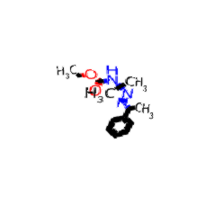 CCOC(=O)NC(C)(C)N=NC(C)c1ccccc1